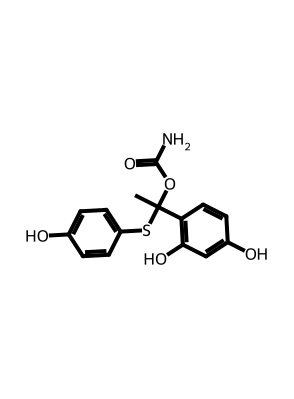 CC(OC(N)=O)(Sc1ccc(O)cc1)c1ccc(O)cc1O